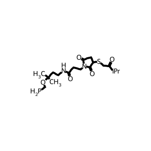 CC(C)C(=O)CSC1CC(=O)N(CCC(=O)NCCC(C)(C)OCP)C1=O